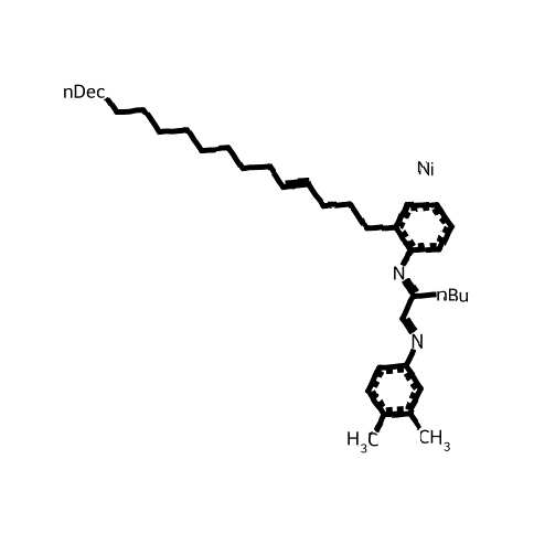 CCCCCCCCCCCCCCCCCC/C=C/CCCc1ccccc1/N=C(/C=N/c1ccc(C)c(C)c1)CCCC.[Ni]